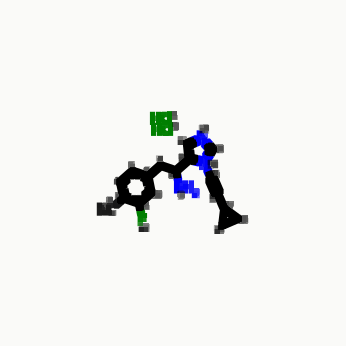 Cl.Cl.N#Cc1ccc(CC(N)c2cncn2C#CC2CC2)cc1F